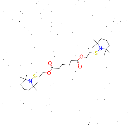 CC1(C)CCCC(C)(C)N1SCCOC(=O)CCCCC(=O)OCCSN1C(C)(C)CCCC1(C)C